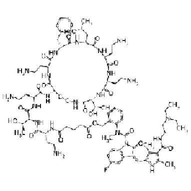 CCN(CC)CCNC(=O)c1c(C)[nH]c(/C=C2\C(=O)N(C(=O)N(C)c3ccccc3COC(=O)CCCC(=O)N[C@H](CCN)C(=O)N[C@H](C(=O)N[C@@H](CCN)C(=O)N[C@H]3CCNC(=O)[C@@H]([C@@H](C)O)NC(=O)[C@H](CCN)NC(=O)[C@H](CCN)NC(=O)[C@H](CC(C)C)NC(=O)[C@@H](Cc4ccccc4)NC(=O)[C@H](CCN)NC3=O)[C@@H](C)O)c3ccc(F)cc32)c1C